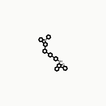 c1ccc(-n2c3ccccc3c3cc(-c4cccc(-c5ccc(-c6ccc(Nc7cc8ccccc8c8c7oc7ccccc78)cc6)cc5)c4)ccc32)cc1